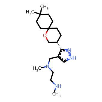 CNCCN(C)Cc1c[nH]nc1[C@H]1CCC2(CCC(C)(C)CC2)OC1